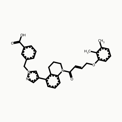 Cc1cccc(OCC=CC(=O)N2CCCc3c(-c4cnn(Cc5cccc(C(=O)O)c5)c4)cccc32)c1C